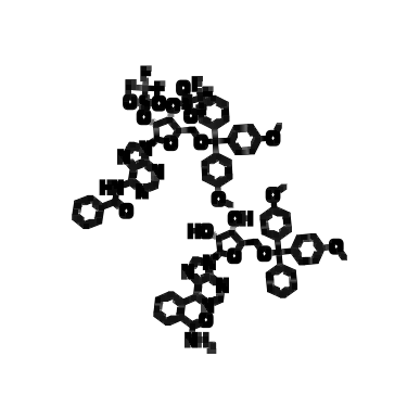 COc1ccc(C(OC[C@H]2O[C@@H](n3cnc4c(-c5ccccc5C(N)=O)ncnc43)[C@H](O)[C@@H]2O)(c2ccccc2)c2ccc(OC)cc2)cc1.COc1ccc(C(OC[C@H]2O[C@@H](n3cnc4c(NC(=O)c5ccccc5)ncnc43)[C@H](OS(=O)(=O)C(F)(F)F)[C@@H]2OS(=O)(=O)C(F)(F)F)(c2ccccc2)c2ccc(OC)cc2)cc1